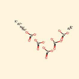 O=[Si]([O-])[O-].O=[Si]([O-])[O-].O=[Si]([O-])[O-].O=[Si]([O-])[O-].O=[Si]([O-])[O-].[Al+3].[Al+3].[K+].[K+].[Na+].[Na+]